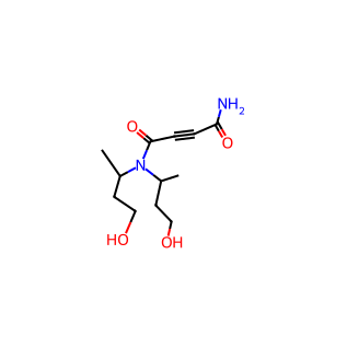 CC(CCO)N(C(=O)C#CC(N)=O)C(C)CCO